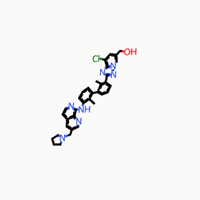 Cc1c(Nc2nccc3cc(CN4CCCC4)cnc23)cccc1-c1cccc(-c2nc3c(Cl)cc(CO)cn3n2)c1C